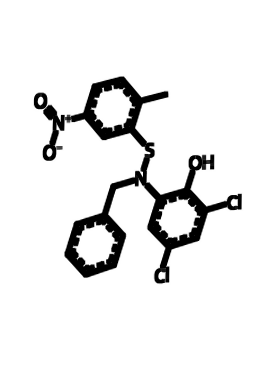 Cc1ccc([N+](=O)[O-])cc1SN(Cc1ccccc1)c1cc(Cl)cc(Cl)c1O